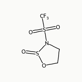 O=S1OCCN1S(=O)(=O)C(F)(F)F